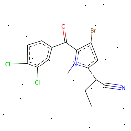 CCC(C#N)c1cc(Br)c(C(=O)c2ccc(Cl)c(Cl)c2)n1C